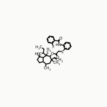 C=CC1(C)CC(C)C2CCC(=O)C2C(C)(C(C)CC)C1OC(=O)CSc1ccccc1NC(=O)c1ccccc1F